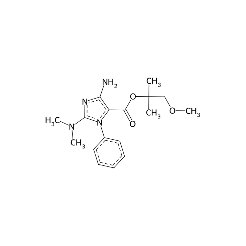 COCC(C)(C)OC(=O)c1c(N)nc(N(C)C)n1-c1ccccc1